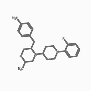 Cc1ccc(CC2COC(C)CN2C2CCN(c3ccccc3F)CC2)cc1